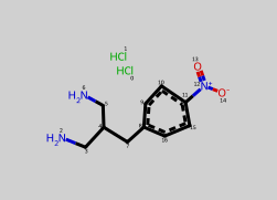 Cl.Cl.NCC(CN)Cc1ccc([N+](=O)[O-])cc1